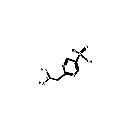 C[C@@H](N)Cc1ncc(P(=O)(O)O)cn1